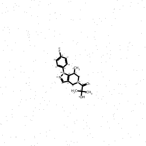 CC1CN(C(=O)C(C)(C)O)Cc2cnn(-c3ccc(F)cc3)c21